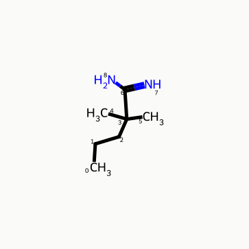 CCCC(C)(C)C(=N)N